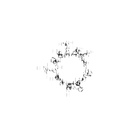 CC(C)[C@@H]1NC(=O)[C@H](Cc2ccccc2)NC(=O)CSC[C@@H](C(=O)NCC(N)=O)NC(=O)[C@H](Cc2c[nH]cn2)NC(=O)[C@H](CCCNC(=N)N)NC(=O)[C@H](Cc2c[nH]cn2)NC(=O)[C@H](Cc2ccccc2)NC(=O)[C@H](CCCNC(=N)N)NC(=O)[C@H](CO)NC(=O)CNC(=O)[C@H](Cc2c[nH]cn2)NC(=O)[C@H](Cc2c[nH]c3ccccc23)NC1=O